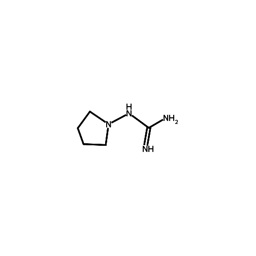 N=C(N)NN1CCCC1